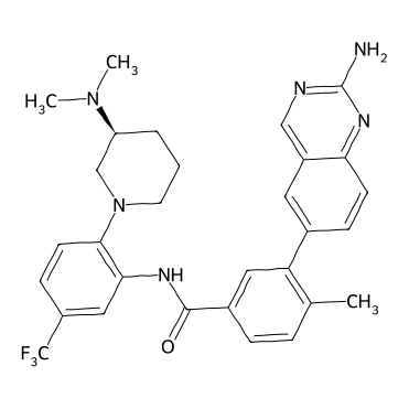 Cc1ccc(C(=O)Nc2cc(C(F)(F)F)ccc2N2CCC[C@H](N(C)C)C2)cc1-c1ccc2nc(N)ncc2c1